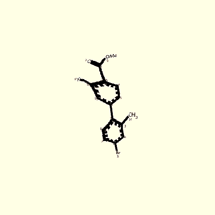 COC(=O)c1ccc(-c2ccc(Br)cc2C)cc1F